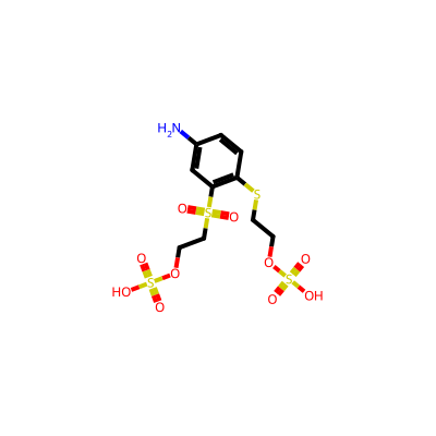 Nc1ccc(SCCOS(=O)(=O)O)c(S(=O)(=O)CCOS(=O)(=O)O)c1